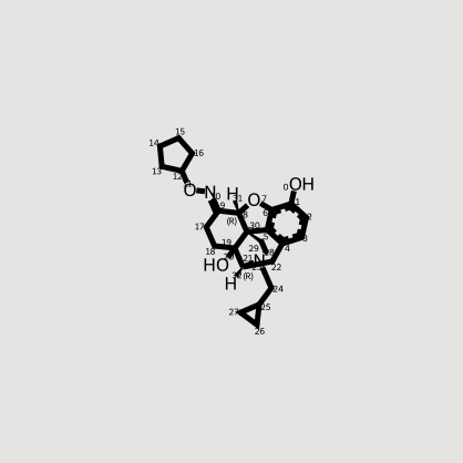 Oc1ccc2c3c1O[C@H]1C(=NOC4CCCC4)CCC4(O)[C@@H](C2)N(CC2CC2)CC[C@]314